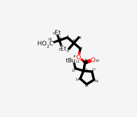 CCC(CC)(CC(C)(C)COC(=O)C1(CC(C)(C)C)CCCC1)C(=O)O